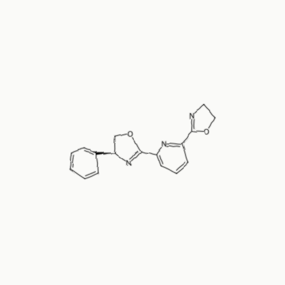 c1ccc([C@H]2COC(c3cccc(C4=NCCO4)n3)=N2)cc1